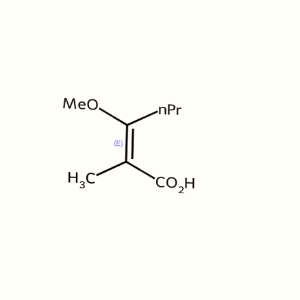 CCC/C(OC)=C(/C)C(=O)O